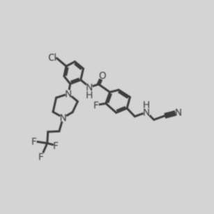 N#CCNCc1ccc(C(=O)Nc2ccc(Cl)cc2N2CCN(CCC(F)(F)F)CC2)c(F)c1